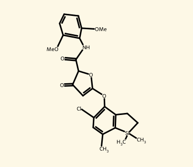 COc1cccc(OC)c1NC(=O)C1OC(Oc2c(Cl)cc(C)c3c2CC[Si]3(C)C)=CC1=O